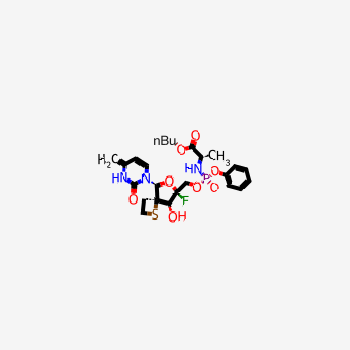 C=C1C=CN([C@@H]2O[C@](F)(COP(=O)(N[C@@H](C)C(=O)OCCCC)Oc3ccccc3)[C@@H](O)[C@]23CCS3)C(=O)N1